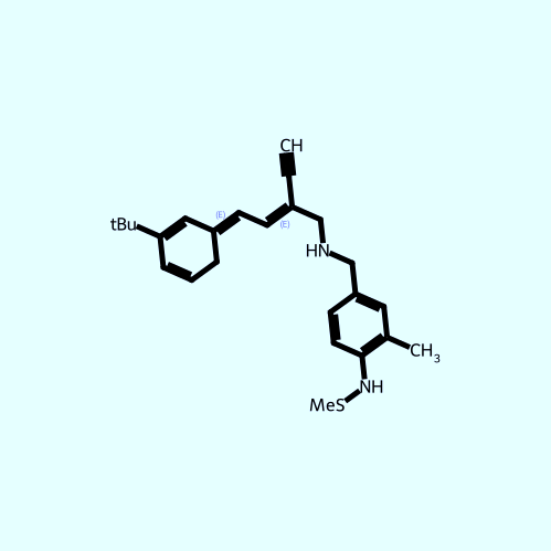 C#C/C(=C\C=C1\C=C(C(C)(C)C)C=CC1)CNCc1ccc(NSC)c(C)c1